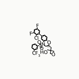 O=S(=O)(c1cccc(C(F)(F)F)c1)N1C[C@H](CC2(CO)COC2)Oc2ccc(-c3cc(F)cc(F)c3Cl)cc21